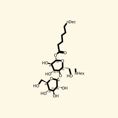 CCCCCCC.CCCCCCCCCCCCCCCC(=O)O[C@@H]1O[C@H](CO)[C@@H](O[C@H]2O[C@H](CO)[C@@H](O)[C@H](O)[C@H]2O)[C@H](O)[C@H]1O